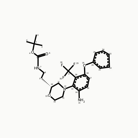 CC(C)(C)OC(=O)NCC[C@@H]1CN(c2c(N)ccc(Oc3ccccc3)c2C(F)(F)F)CCO1